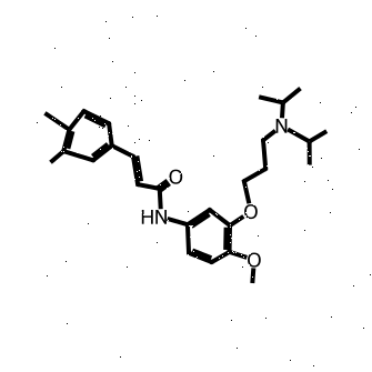 COc1ccc(NC(=O)C=Cc2ccc(C)c(C)c2)cc1OCCCN(C(C)C)C(C)C